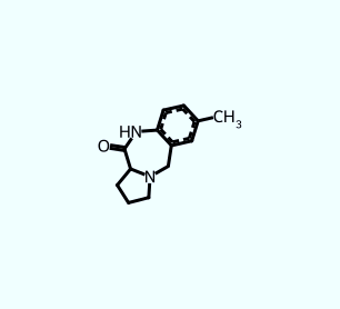 Cc1ccc2c(c1)CN1CCCC1C(=O)N2